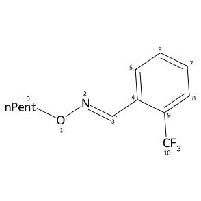 CCCCCO/N=[C]/c1ccccc1C(F)(F)F